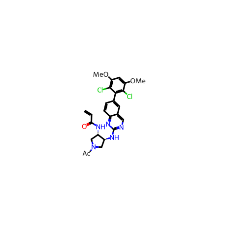 C=CC(=O)N[C@H]1CN(C(C)=O)C[C@@H]1Nc1ncc2cc(-c3c(Cl)c(OC)cc(OC)c3Cl)ccc2n1